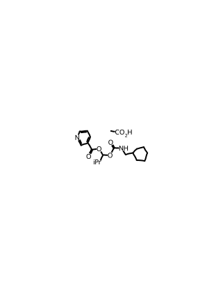 CC(=O)O.CC(C)C(OC(=O)NCC1CCCCC1)OC(=O)c1cccnc1